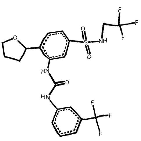 O=C(Nc1cccc(C(F)(F)F)c1)Nc1cc(S(=O)(=O)NCC(F)(F)F)ccc1C1CCCO1